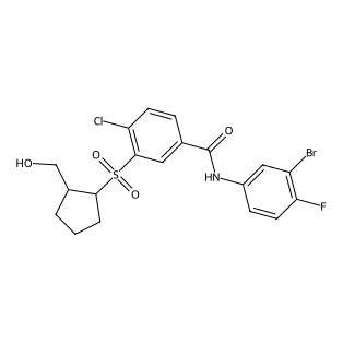 O=C(Nc1ccc(F)c(Br)c1)c1ccc(Cl)c(S(=O)(=O)C2CCCC2CO)c1